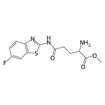 COC(=O)C(N)CCC(=O)Nc1nc2ccc(F)cc2s1